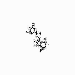 Cc1nc(Cl)cc(NCCc2c(C)[nH]c3c(F)ccc(C)c23)n1